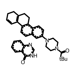 CC(C)(C)C(=O)N1CCN(c2ccc3c4c(ccc3c2)C2=C(CCC=C2)CC4)CC1.O=c1[nH]cnc2ccccc12